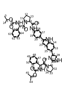 CC(C)OC(=O)NC(C(=O)N1CCC[C@H]1C(=O)Nc1ccc(-c2cc3cc(-c4c[nH]c([C@@H]5CCCN5C(=O)C(NC(=O)OC(C)C)c5ccccc5)n4)ccc3[nH]2)cc1)c1ccccc1